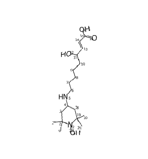 CC1(C)CC(NCCCCCC(O)/C=C/C(=O)O)CC(C)(C)N1O